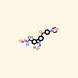 CCn1c2ccc(C(=O)c3ccc(N4CCOCC4)cc3)cc2c2cc(C(C)NOC=O)ccc21